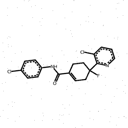 O=C(Nc1ccc(Cl)cc1)C1=CCC(F)(c2ncccc2Cl)CC1